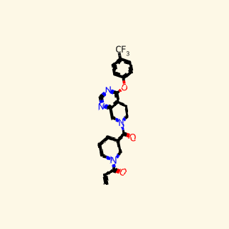 C=CC(=O)N1CCCC(C(=O)N2CCc3c(ncnc3Oc3ccc(C(F)(F)F)cc3)C2)C1